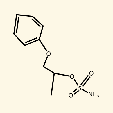 CC(COc1ccccc1)OS(N)(=O)=O